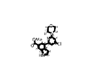 COC(=O)c1cc(-c2cc(Cl)cc(N3CCOC[C@H]3C)n2)c2cc[nH]c2c1